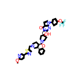 COc1ccc(-c2ncc(CN3CC[C@@H](C(=O)N4CCC(O)(Cn5cnc6c(ccn6-c6ccc(OC(F)(F)F)cc6)c5=O)CC4)[C@H](c4ccccc4)C3)s2)cn1